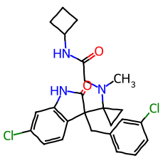 CN(CC(=O)NC1CCC1)C1(C2(Cc3cccc(Cl)c3)C(=O)Nc3cc(Cl)ccc32)CC1